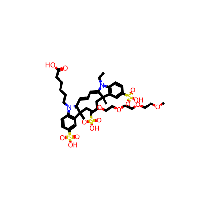 CCN1/C(=C/C=C/C2=[N+](CCCCCC(=O)O)c3ccc(S(=O)(=O)O)cc3C2(C)CCOCCOCCOCCOC)C(C)(CCCS(=O)(=O)O)c2cc(S(=O)(=O)O)ccc21